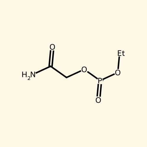 CCO[P](=O)OCC(N)=O